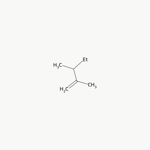 C=C(C)C(C)CC